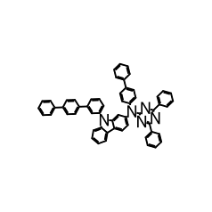 c1ccc(-c2ccc(-c3cccc(-n4c5ccccc5c5ccc(N(c6ccc(-c7ccccc7)cc6)c6nc(-c7ccccc7)nc(-c7ccccc7)n6)cc54)c3)cc2)cc1